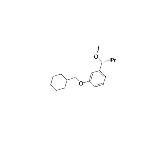 CC(C)[C@@H](OI)c1cccc(OCC2CCCCC2)c1